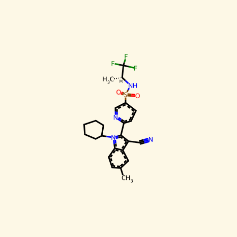 Cc1ccc2c(c1)c(C#N)c(-c1ccc(S(=O)(=O)N[C@H](C)C(F)(F)F)cn1)n2C1CCCCC1